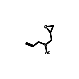 C=CCN(CC1CO1)C(C)=O